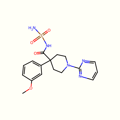 COc1cccc(C2(C(=O)NS(N)(=O)=O)CCN(c3ncccn3)CC2)c1